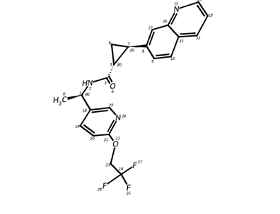 C[C@@H](NC(=O)[C@@H]1C[C@H]1c1ccc2cccnc2c1)c1ccc(OCC(F)(F)F)nc1